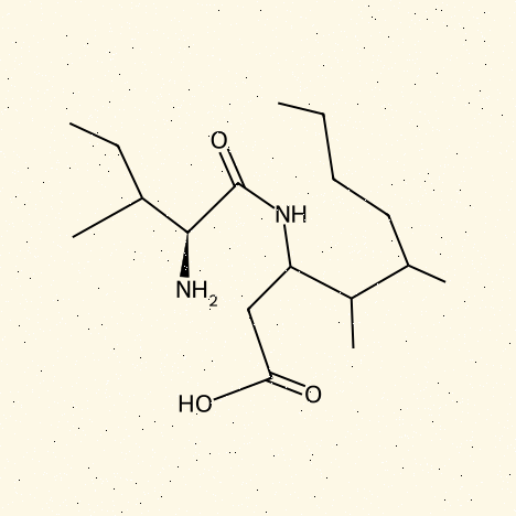 CCCCC(C)C(C)C(CC(=O)O)NC(=O)[C@@H](N)C(C)CC